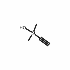 C#C[Si](C)(C)O